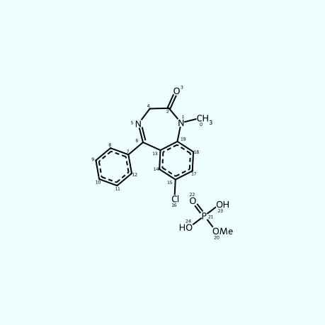 CN1C(=O)CN=C(c2ccccc2)c2cc(Cl)ccc21.COP(=O)(O)O